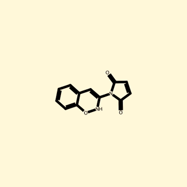 O=C1C=CC(=O)N1C1=Cc2ccccc2ON1